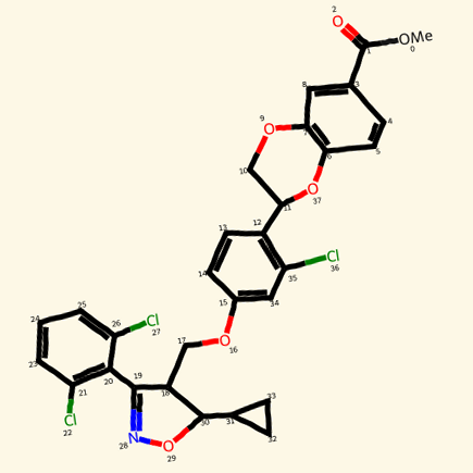 COC(=O)c1ccc2c(c1)OCC(c1ccc(OCC3C(c4c(Cl)cccc4Cl)=NOC3C3CC3)cc1Cl)O2